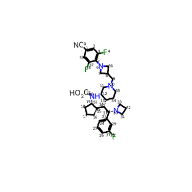 N#Cc1cc(F)c(N2CC(CN3CCC([C@@H]([C@H]4CCC[C@@H]4NC(=O)O)[C@@H](c4cccc(F)c4)N4CCC4)CC3)C2)c(F)c1